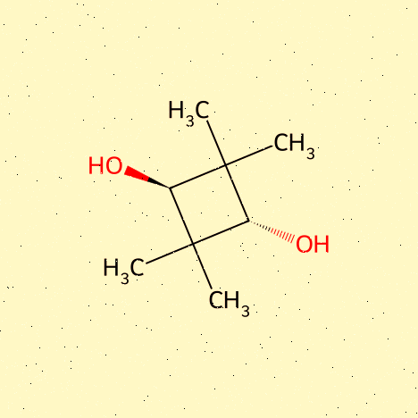 CC1(C)[C@H](O)C(C)(C)[C@H]1O